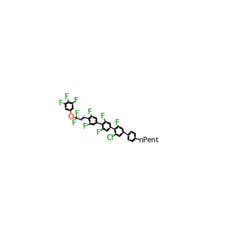 CCCCCc1ccc(-c2cc(F)c(-c3cc(F)c(-c4cc(F)c(/C=C/C(F)(F)Oc5cc(F)c(F)c(F)c5)c(F)c4)c(F)c3)c(Cl)c2)cc1